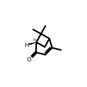 CC1=CC(=O)[C@H]2CC1C2(C)C